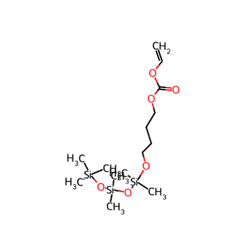 C=COC(=O)OCCCCO[Si](C)(C)O[Si](C)(C)O[Si](C)(C)C